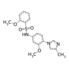 COc1cc(NS(=O)(=O)c2ccccc2OC)ccc1-n1cnc(C)c1